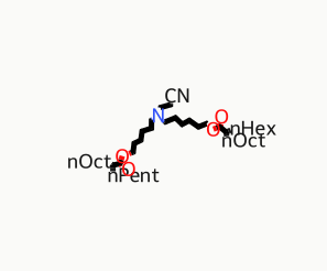 CCCCCCCCC(CCCCC)C(=O)OCCCCCCN(CCC#N)CCCCCCOC(=O)C(CCCCCC)CCCCCCCC